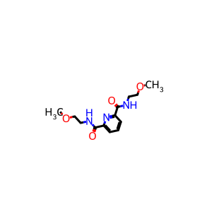 COCCNC(=O)c1cccc(C(=O)NCCOC)n1